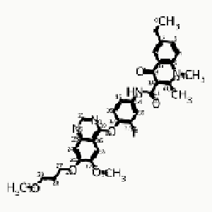 CCc1ccc2c(c1)c(=O)c(C(=O)Nc1ccc(Oc3ncnc4cc(OCCCOC)c(OC)cc34)c(F)c1)c(C)n2C